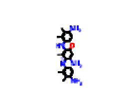 CC1=C(Nc2ccc(N)c(C)c2C)C(=O)C=C(N)/C1=N\c1ccc(N)c(C)c1C